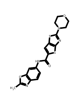 Cc1nc2ccc(NC(=O)c3cc4sc(N5CCOCC5)nc4s3)cc2o1